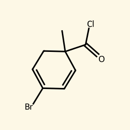 CC1(C(=O)Cl)C=CC(Br)=CC1